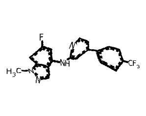 Cn1ncc2c(Nc3cc(-c4ccc(C(F)(F)F)cc4)ccn3)cc(F)cc21